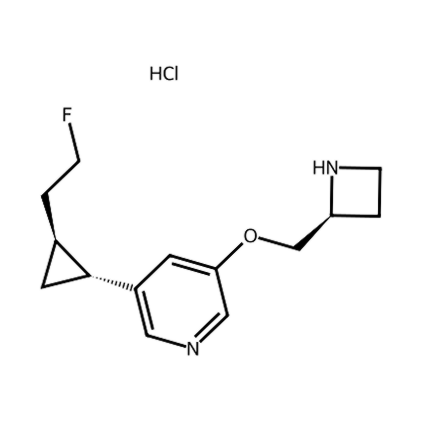 Cl.FCC[C@@H]1C[C@H]1c1cncc(OC[C@@H]2CCN2)c1